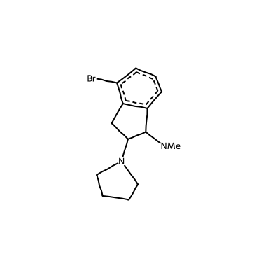 CNC1c2cccc(Br)c2CC1N1CCCC1